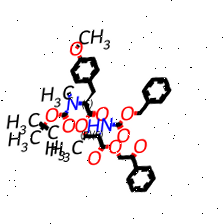 COc1ccc(C[C@@H](C(=O)O[C@H](C)[C@H](NC(=O)OCc2ccccc2)C(=O)OCC(=O)c2ccccc2)N(C)C(=O)OC(C)(C)C)cc1